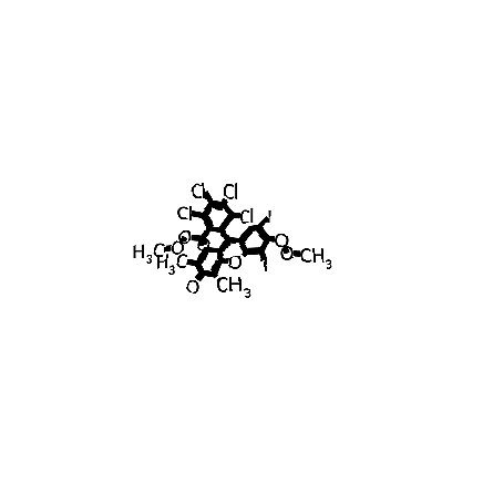 COOC(=O)c1c(Cl)c(Cl)c(Cl)c(Cl)c1-c1c2cc(C)c(=O)c(C)c-2oc2c(I)c(OOC)c(I)cc12